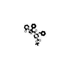 CC(C)(C)OC(=O)N1CCN(C(=O)c2ncn(N3CCCCC3=O)c2-c2ccccc2)[C@H](Cc2ccccc2)C1